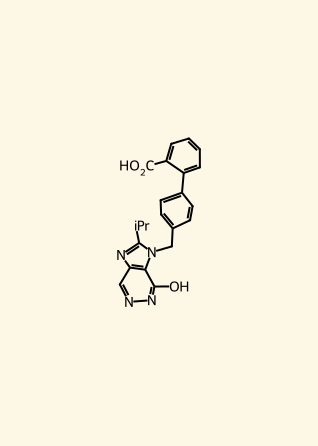 CC(C)c1nc2cnnc(O)c2n1Cc1ccc(-c2ccccc2C(=O)O)cc1